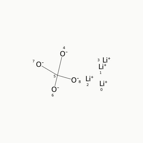 [Li+].[Li+].[Li+].[Li+].[O-]C([O-])([O-])[O-]